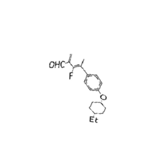 C=C(C=O)/C(F)=C(\C)c1ccc(O[C@H]2CC[C@@H](CC)CC2)cc1